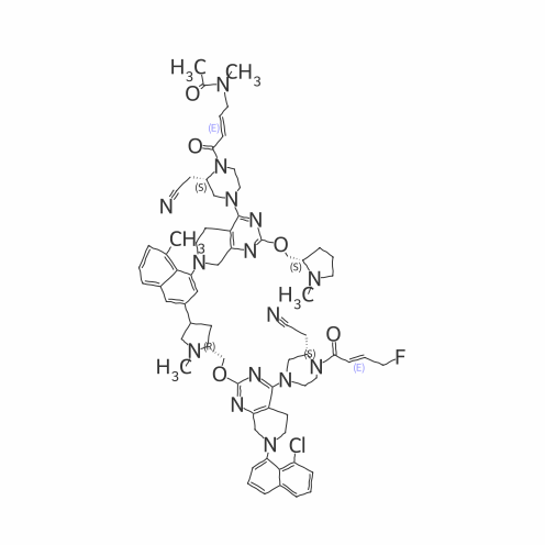 CC(=O)N(C)C/C=C/C(=O)N1CCN(c2nc(OC[C@@H]3CCCN3C)nc3c2CCN(c2cc(C4C[C@H](COc5nc6c(c(N7CCN(C(=O)/C=C/CF)[C@@H](CC#N)C7)n5)CCN(c5cccc7cccc(Cl)c57)C6)N(C)C4)cc4cccc(C)c24)C3)C[C@@H]1CC#N